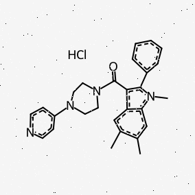 Cc1cc2c(C(=O)N3CCN(c4ccncc4)CC3)c(-c3ccccc3)n(C)c2cc1C.Cl